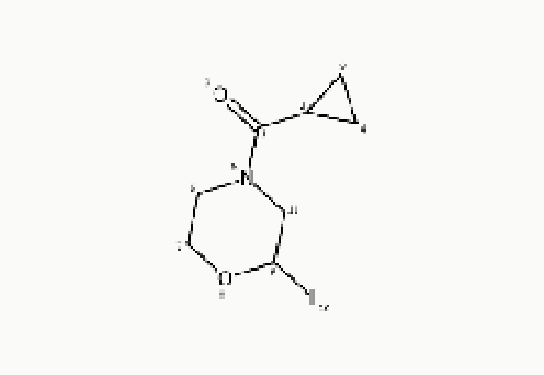 O=C(C1CC1)N1CCOC(I)C1